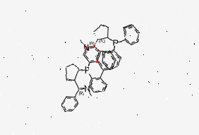 CN(C)[C@@H](c1ccccc1)C1CCCC1P(c1ccccc1)c1ccccc1-c1cccc([C@@H]([C@@H]2CCCC2P(c2ccccc2)c2ccccc2)N(C)C)c1